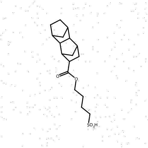 O=C(OCCCCS(=O)(=O)O)C1CC2CC1C1C3CCC(C3)C21